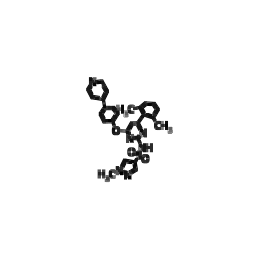 Cc1cccc(C)c1-c1cc(Oc2ccc(-c3ccncc3)cc2)nc(NS(=O)(=O)c2cnn(C)c2)n1